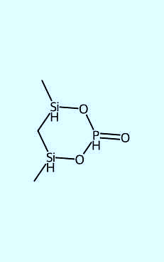 C[SiH]1C[SiH](C)O[PH](=O)O1